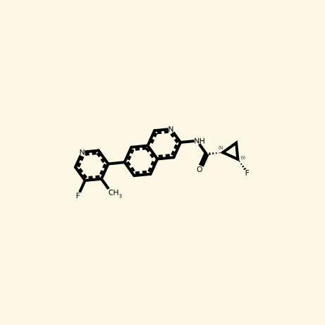 Cc1c(F)cncc1-c1ccc2cc(NC(=O)[C@@H]3C[C@@H]3F)ncc2c1